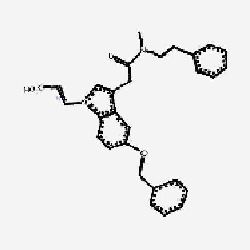 CN(CCc1ccccc1)C(=O)Cc1cn(/C=C/C(=O)O)c2ccc(OCc3ccccc3)cc12